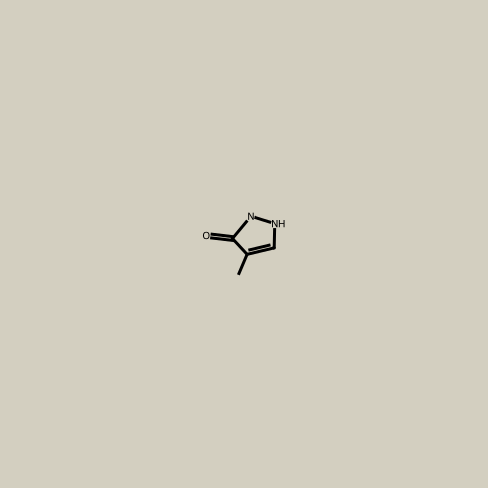 CC1=CN[N]C1=O